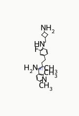 C/C(CCc1ccc(NCC2CC(N)C2)c(F)c1)=C(/N)c1ccc(C)nc1C